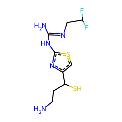 NCCC(S)c1csc(NC(N)=NCC(F)F)n1